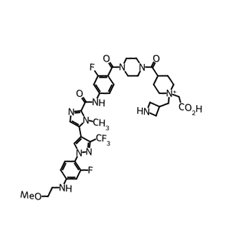 COCCNc1ccc(-n2cc(-c3cnc(C(=O)Nc4ccc(C(=O)N5CCN(C(=O)C6CC[N+](CC(=O)O)(CC7CNC7)CC6)CC5)c(F)c4)n3C)c(C(F)(F)F)n2)c(F)c1